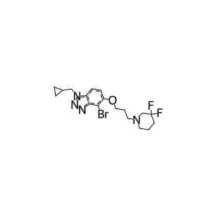 FC1(F)CCCN(CCCOc2ccc3c(nnn3CC3CC3)c2Br)C1